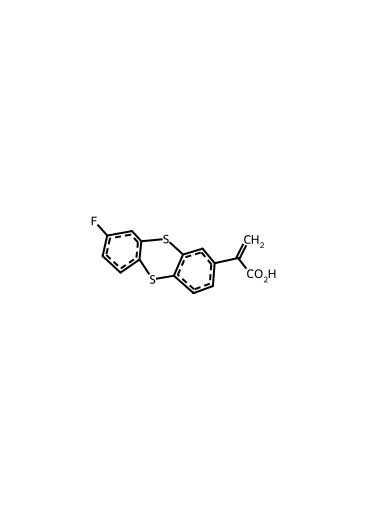 C=C(C(=O)O)c1ccc2c(c1)Sc1cc(F)ccc1S2